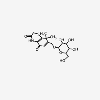 CC1(C)C(COC2OC(CO)C(O)C(O)C2O)=CC(=O)C2=C1SCC(=O)N2